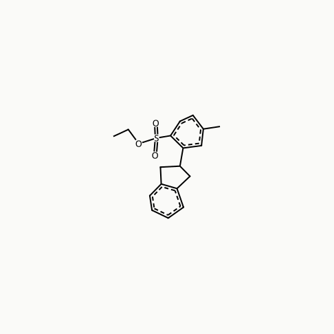 CCOS(=O)(=O)c1ccc(C)cc1C1Cc2ccccc2C1